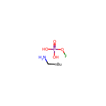 CCCCCN.O=P(O)(O)OF